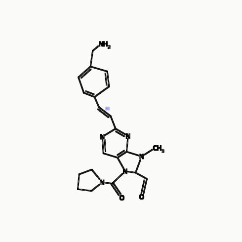 CN1c2nc(/C=C/c3ccc(CN)cc3)ncc2N(C(=O)N2CCCC2)C1C=O